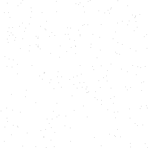 CCCCC/C=C\C/C=C\CCCCCCCCC=NN(C)C